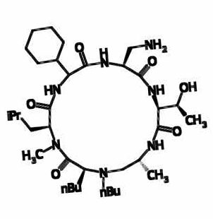 CCCC[C@H]1C(=O)N(C)[C@@H](CC(C)C)C(=O)NC(C2CCCCC2)C(=O)N[C@@H](CN)C(=O)N[C@@H]([C@H](C)O)C(=O)N[C@H](C)CN1CCCC